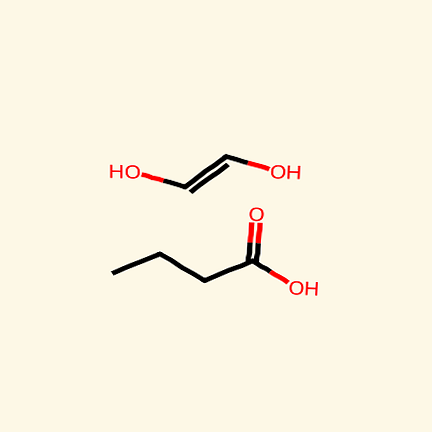 CCCC(=O)O.OC=CO